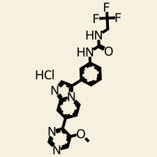 COc1cncnc1-c1ccn2c(-c3cccc(NC(=O)NCC(F)(F)F)c3)cnc2c1.Cl